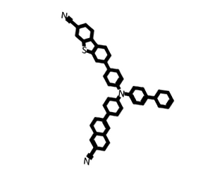 N#CC1=CC2CCC(C3CCC(N(C4=CC=C(C5CC=CCC5)CC4)C4=CCC(C5CCC6C(C5)SC5CC(C#N)CCC56)CC4)CC3)=CC2CC1